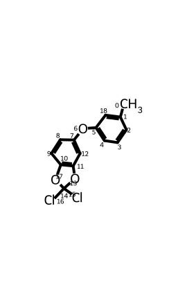 Cc1cccc(Oc2ccc3c(c2)OC(Cl)(Cl)O3)c1